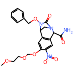 COCCOCOc1cc2c(cc1[N+](=O)[O-])C(C(N)=O)N1CC2N(OCc2ccccc2)C1=O